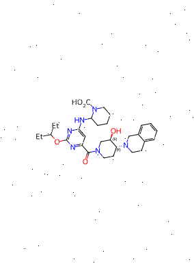 CCC(CC)Oc1nc(NC2CCCCN2C(=O)O)cc(C(=O)N2CC[C@@H](N3CCc4ccccc4C3)[C@H](O)C2)n1